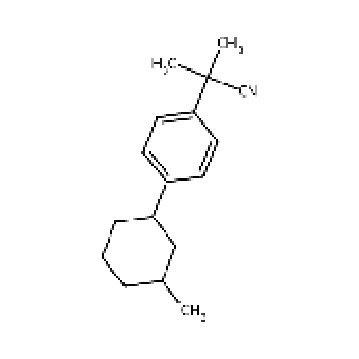 CC1CCCC(c2ccc(C(C)(C)C#N)cc2)C1